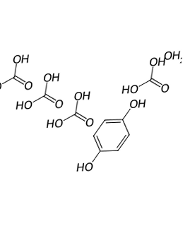 O.O=C(O)O.O=C(O)O.O=C(O)O.O=C(O)O.Oc1ccc(O)cc1